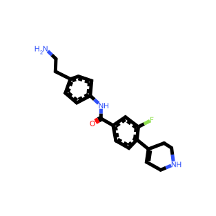 NCCc1ccc(NC(=O)c2ccc(C3=CCNCC3)c(F)c2)cc1